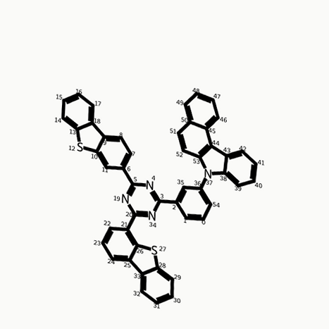 c1cc(-c2nc(-c3ccc4c(c3)sc3ccccc34)nc(-c3cccc4c3sc3ccccc34)n2)cc(-n2c3ccccc3c3c4ccccc4ccc32)c1